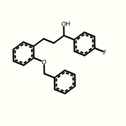 OC(CCc1ccccc1OCc1ccccc1)c1ccc(F)cc1